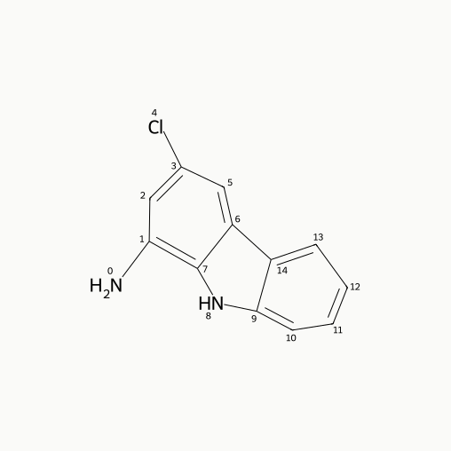 Nc1cc(Cl)cc2c1[nH]c1ccccc12